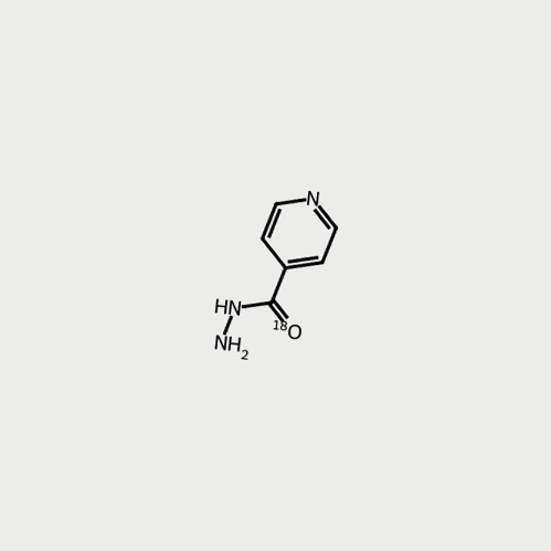 NNC(=[18O])c1ccncc1